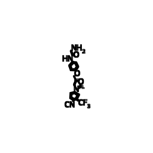 C[C@H]1O[C@H](COc2ccc(NC(=O)CN)cc2)CN1c1ccc(C#N)c(C(F)(F)F)c1